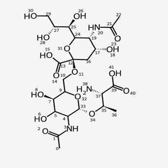 CC(=O)NC1C(O)[C@@H](O)C(CO[C@]2(C(=O)O)C[C@@H](O)[C@@H](NC(C)=O)C([C@H](O)[C@H](O)CO)O2)O[C@@H]1O[C@H](C)[C@H](N)C(=O)O